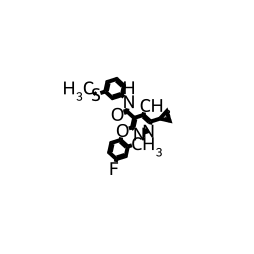 CSc1cccc(NC(=O)c2c(Oc3ccc(F)cc3C)nnc(C3CC3)c2C)c1